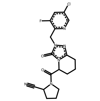 N#CC1CCCN1C(=O)C1CCCc2nn(Cc3ncc(Cl)cc3F)c(=O)n21